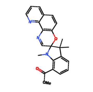 COC(=O)c1cccc2c1N(C)C1(C=Nc3c(ccc4cccnc34)O1)C2(C)C